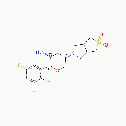 N[C@H]1C[C@@H](N2CC3CS(=O)(=O)CC3C2)CO[C@@H]1c1cc(F)cc(F)c1F